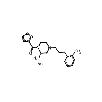 Cc1ccccc1CCCN1CCN(C(=O)c2ccco2)C(C)C1.Cl